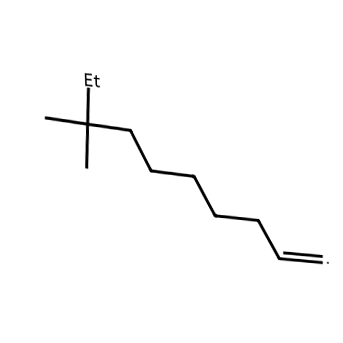 [CH]=CCCCCCC(C)(C)C[CH2]